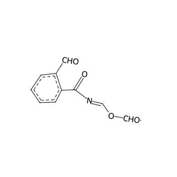 O=[C]OC=NC(=O)c1ccccc1C=O